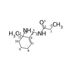 CCC(=O)NCC1=CCCCC1(C)N